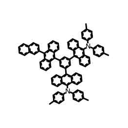 Cc1ccc(N(c2ccc(C)cc2)c2c3ccccc3c(-c3cc(-c4c5ccccc5c(-c5ccc6ccccc6c5)c5ccccc45)cc(-c4c5ccccc5c(N(c5ccc(C)cc5)c5ccc(C)cc5)c5ccccc45)c3)c3ccccc23)cc1